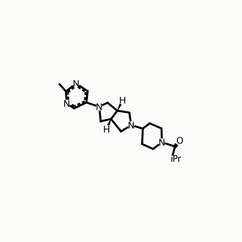 Cc1ncc(N2C[C@@H]3CN(C4CCN(C(=O)C(C)C)CC4)C[C@@H]3C2)cn1